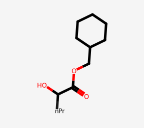 CCCC(O)C(=O)OCC1CCCCC1